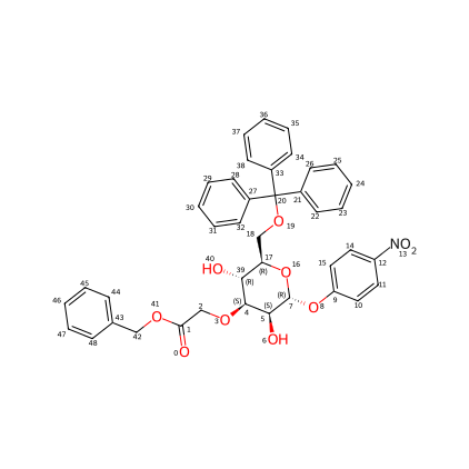 O=C(CO[C@@H]1[C@H](O)[C@@H](Oc2ccc([N+](=O)[O-])cc2)O[C@H](COC(c2ccccc2)(c2ccccc2)c2ccccc2)[C@H]1O)OCc1ccccc1